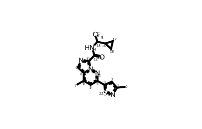 Cc1cc(-c2cc(C)c3cnc(C(=O)NC(C4CC4)C(F)(F)F)n3n2)sn1